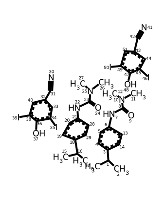 CC(C)c1ccc(NC(=O)N(C)C)cc1.CC(C)c1ccc(NC(=O)N(C)C)cc1.N#Cc1cc(I)c(O)c(I)c1.N#Cc1cc(I)c(O)c(I)c1